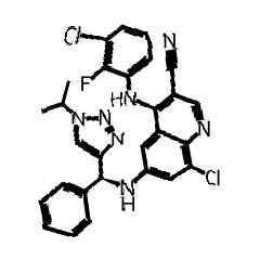 CC(C)n1cc([C@@H](Nc2cc(Cl)c3ncc(C#N)c(Nc4cccc(Cl)c4F)c3c2)c2ccccc2)nn1